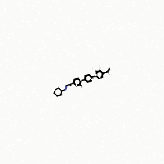 Fc1cc(C(F)(F)/C=C/C2CCCCC2)ccc1-c1ccc(-c2ccc(C3CO3)c(F)c2F)cc1